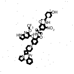 CC(C)c1ccccc1[C@@H]1CCCN1C1CC2(CCN(c3ccc(C(=O)NS(=O)(=O)c4cc5c(c([N+](=O)[O-])c4)N[C@@H]([C@H]4CC[C@](C)(O)CC4)CO5)c(Oc4cc5cc[nH]c5nc4OCC(F)(F)F)c3)CC2)C1